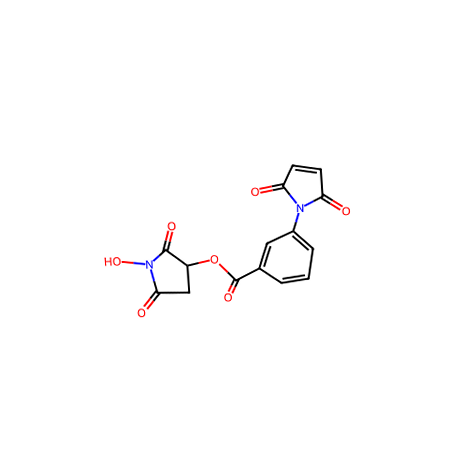 O=C(OC1CC(=O)N(O)C1=O)c1cccc(N2C(=O)C=CC2=O)c1